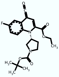 CCOC(=O)C1=CC(=C=O)c2cc(F)ccc2N1[C@@H]1CCN(C(=O)OC(C)(C)C)C1